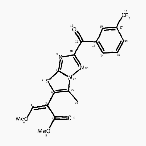 COC=C(C(=O)OC)c1sc2nc(C(=O)c3cccc(C(F)(F)F)c3)nn2c1C